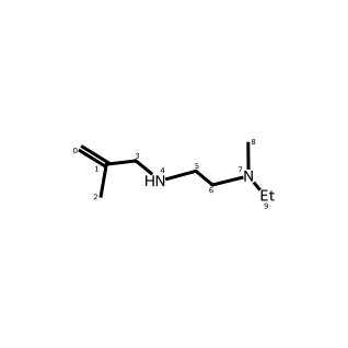 C=C(C)CNCCN(C)CC